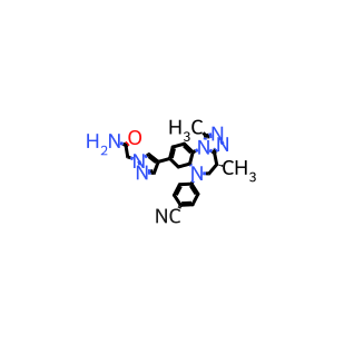 Cc1nnc2n1C1=CC=C(c3cnn(CC(N)=O)c3)CC1N(c1ccc(C#N)cc1)C[C@H]2C